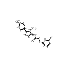 O=C(CCc1cccc(F)c1)Nc1csc(-c2ccc(Cl)nc2)c1C(=O)O